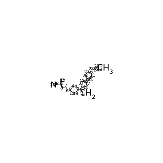 C=C(C1CCC(CCC=C(F)C#N)CC1)C1CCC(c2ccc(CCCC)cc2)CC1